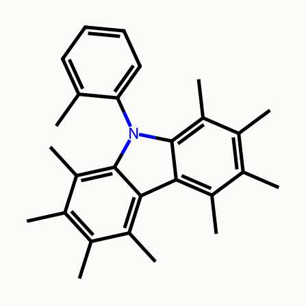 Cc1ccccc1-n1c2c(C)c(C)c(C)c(C)c2c2c(C)c(C)c(C)c(C)c21